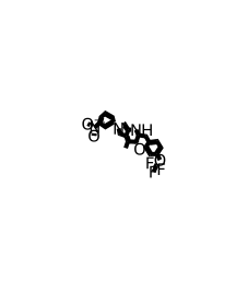 CC1=C2CN(c3cccc([N+](=O)[O-])c3)C=C2NC(Cc2ccc(OC(F)(F)F)cc2)C1=O